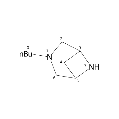 CCCCN1CC2CC(C1)N2